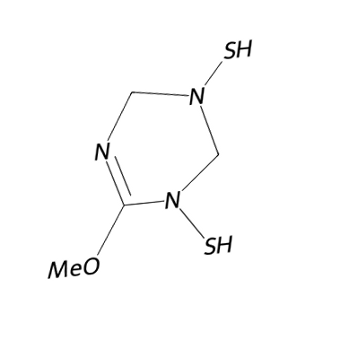 COC1=NCN(S)CN1S